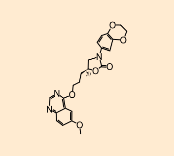 COc1ccc2ncnc(OCCC[C@H]3CN(c4ccc5c(c4)OCCO5)C(=O)O3)c2c1